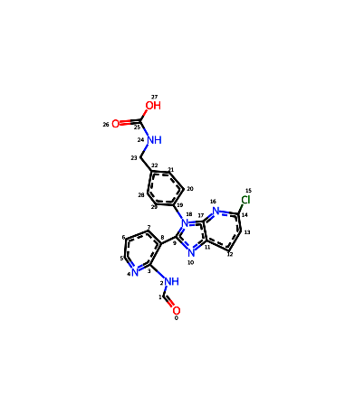 O=CNc1ncccc1-c1nc2ccc(Cl)nc2n1-c1ccc(CNC(=O)O)cc1